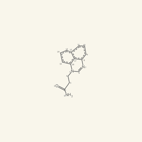 NC(=O)CCN1C=Nc2cccc3cccc1c23